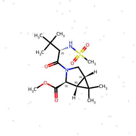 COC(=O)[C@@H]1[C@@H]2[C@H](CN1C(=O)[C@@H](NS(C)(=O)=O)C(C)(C)C)C2(C)C